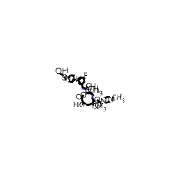 C/C(=C\c1cc(F)cc(N2CCN(SCCO)CC2)c1)[C@H]1OC(=O)C[C@H](O)CC[C@H](C)[C@@H](OC(=O)N2CCN(C)CC2)/C=C/[C@@H]1C